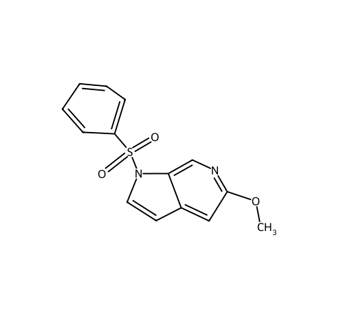 COc1cc2ccn(S(=O)(=O)c3ccccc3)c2cn1